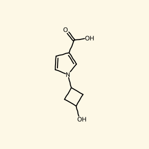 O=C(O)c1ccn(C2CC(O)C2)c1